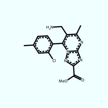 COC(=O)c1nc2nc(C)c(CN)c(-c3ccc(C)cc3Cl)n2n1